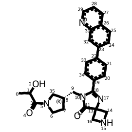 CC(O)C(=O)N1CC[C@@H](CN2C(=O)C3(CNC3)N=C2c2ccc(-c3ccc4cccnc4c3)cc2)C1